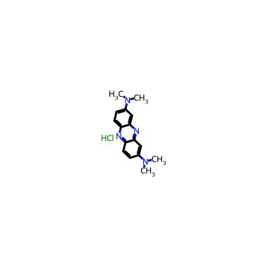 CN(C)c1ccc2nc3ccc(N(C)C)cc3nc2c1.Cl